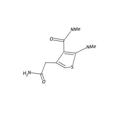 CNC(=O)c1c(CC(N)=O)csc1NC